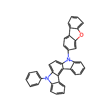 c1ccc(-n2c3ccccc3c3c4c5ccccc5n(-c5ccc6c(c5)oc5ccccc56)c4ccc32)cc1